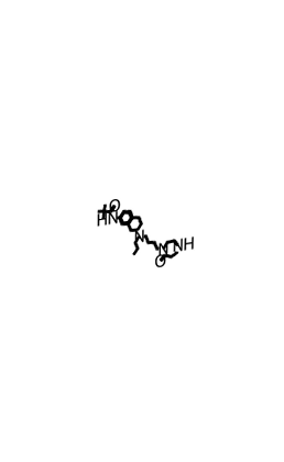 CCCN(CCCCN1CCNCCC1=O)C1CCc2ccc(NC(=O)C(C)(C)C)cc2C1